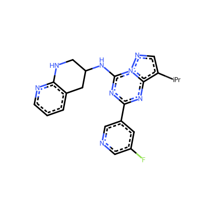 CC(C)c1cnn2c(NC3CNc4ncccc4C3)nc(-c3cncc(F)c3)nc12